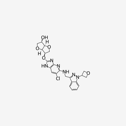 O[C@@H]1CO[C@H]2[C@@H]1OC[C@H]2Oc1nc2nc(NCc3nn(C4COC4)c4ccccc34)c(Cl)cc2[nH]1